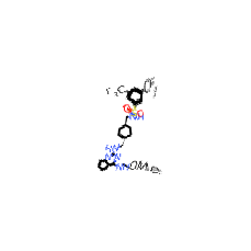 COCCNc1nc(NC[C@H]2CC[C@H](CNS(=O)(=O)c3cc(C(F)(F)F)cc(C(F)(F)F)c3)CC2)nc2ccccc12